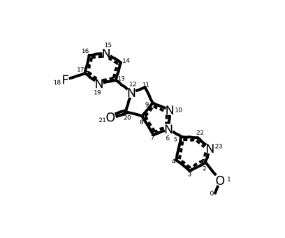 COc1ccc(-n2cc3c(n2)CN(c2cncc(F)n2)C3=O)cn1